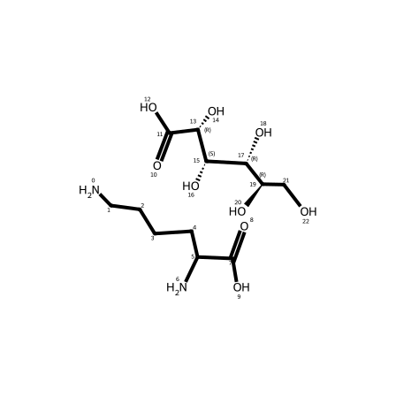 NCCCCC(N)C(=O)O.O=C(O)[C@H](O)[C@@H](O)[C@H](O)[C@H](O)CO